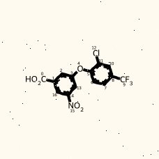 O=C(O)c1cc(Oc2ccc(C(F)(F)F)cc2Cl)cc([N+](=O)[O-])c1